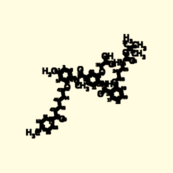 Cc1ccc(N(C)C(=O)c2ccc(NC(=O)c3ccccc3OCCCNC(=O)OC(C)(C)C)c(OCC(=O)O)c2)c(OCCCCCC(=O)N2CCN(C)CC2)c1